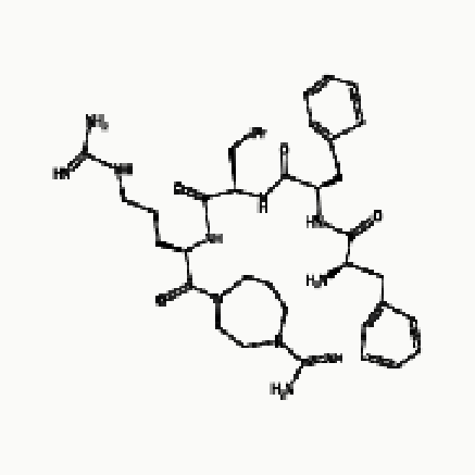 CC(C)C[C@@H](NC(=O)[C@@H](Cc1ccccc1)NC(=O)[C@H](N)Cc1ccccc1)C(=O)N[C@H](CCCNC(=N)N)C(=O)N1CCCN(C(=N)N)CC1